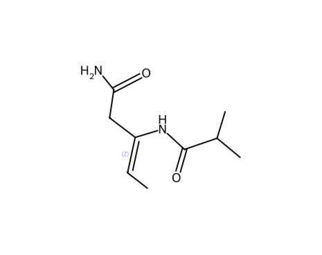 C/C=C(/CC(N)=O)NC(=O)C(C)C